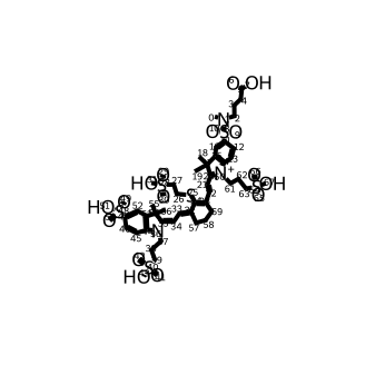 CN(CCCC(=O)O)S(=O)(=O)c1ccc2c(c1)C(C)(C)C(/C=C/C1=C(SCCS(=O)(=O)O)C(=C/C=C3/N(CCCS(=O)(=O)O)c4ccc(S(=O)(=O)O)cc4C3(C)C)/CCC1)=[N+]2CCCS(=O)(=O)O